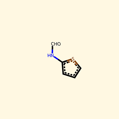 O=CNc1cccs1